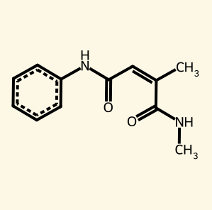 CNC(=O)C(C)=CC(=O)Nc1ccccc1